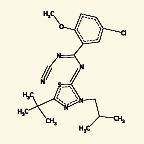 COc1ccc(Cl)cc1C(=NC#N)N=c1sc(C(C)(C)C)nn1CC(C)C